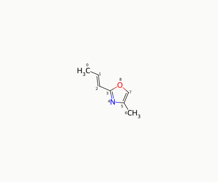 C/C=C/c1nc(C)co1